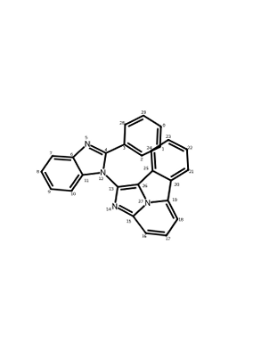 c1ccc(-c2nc3ccccc3n2-c2nc3cccc4c5ccccc5c2n34)cc1